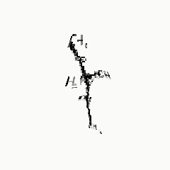 CCCCCC/C=C/COC(=O)CCCCCCCC(N)(CCCCCCCC(=O)OC/C=C/CCCCCC)OC(=O)CCCOCO